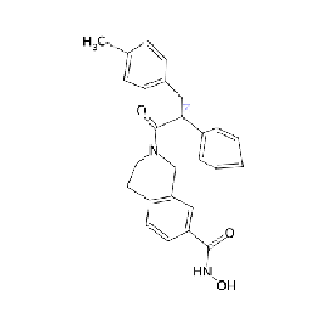 Cc1ccc(/C=C(\C(=O)N2CCc3ccc(C(=O)NO)cc3C2)c2ccccc2)cc1